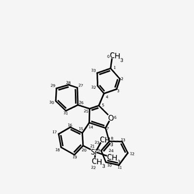 Cc1ccc(-c2oc(-c3ccccc3)c(-c3ccccc3[Si](C)(C)C)c2-c2ccccc2)cc1